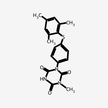 Cc1cc(C)c(Sc2ccc(-n3c(=O)[nH]c(=O)n(C)c3=O)cc2)c(C)c1